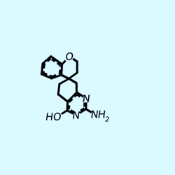 Nc1nc(O)c2c(n1)CC1(CCOc3ccccc31)CC2